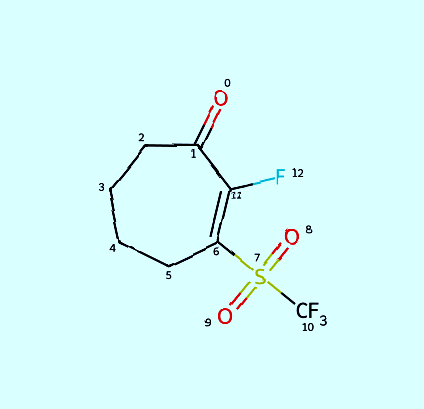 O=C1CCCCC(S(=O)(=O)C(F)(F)F)=C1F